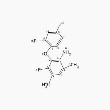 Cc1cc(C)c(F)c(Oc2ccc(I)cc2F)c1N